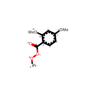 COc1ccc(C(=O)OO[C](C)C)c(OC)c1